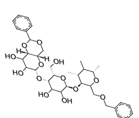 CC1[C@H](C)OC(COCc2ccccc2)[C@@H](O[C@@H]2O[C@@H](CO)[C@@H](O[C@H]3O[C@H]4COC(c5ccccc5)O[C@H]4C(O)C3O)C(O)C2O)[C@@H]1C